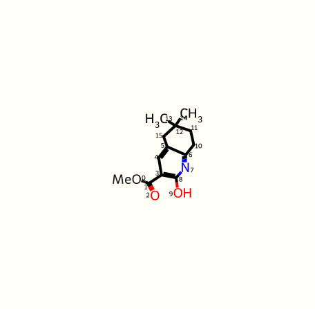 COC(=O)c1cc2c(nc1O)CCC(C)(C)C2